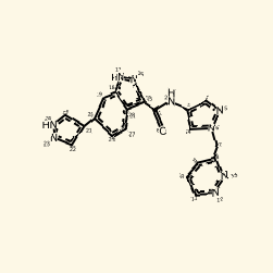 O=C(Nc1cnn(Cc2cccnn2)c1)c1n[nH]c2cc(-c3cn[nH]c3)ccc12